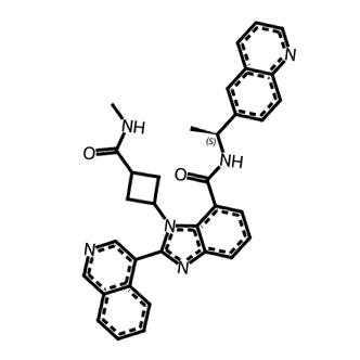 CNC(=O)C1CC(n2c(-c3cncc4ccccc34)nc3cccc(C(=O)N[C@@H](C)c4ccc5ncccc5c4)c32)C1